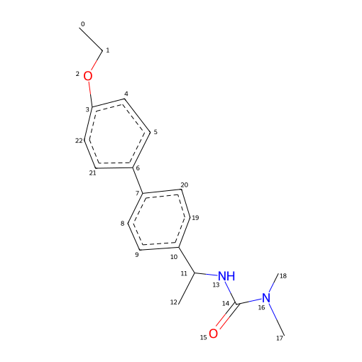 CCOc1ccc(-c2ccc(C(C)NC(=O)N(C)C)cc2)cc1